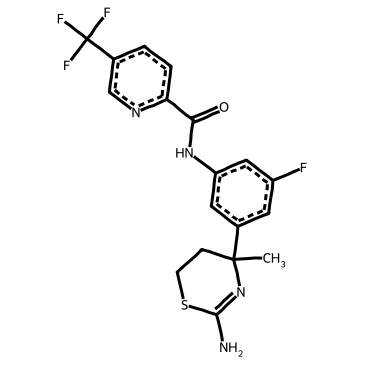 CC1(c2cc(F)cc(NC(=O)c3ccc(C(F)(F)F)cn3)c2)CCSC(N)=N1